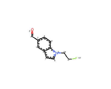 O=Cc1ccc2c(ccn2CCF)c1